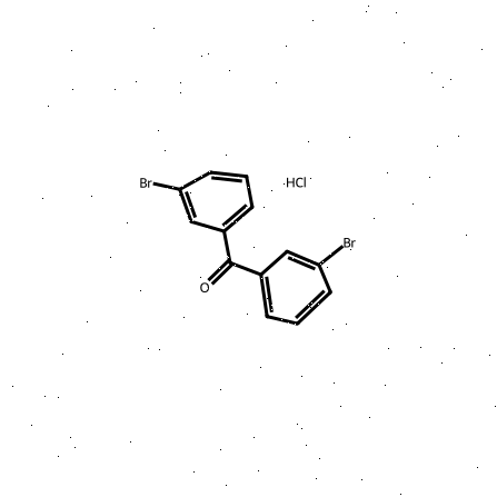 Cl.O=C(c1cccc(Br)c1)c1cccc(Br)c1